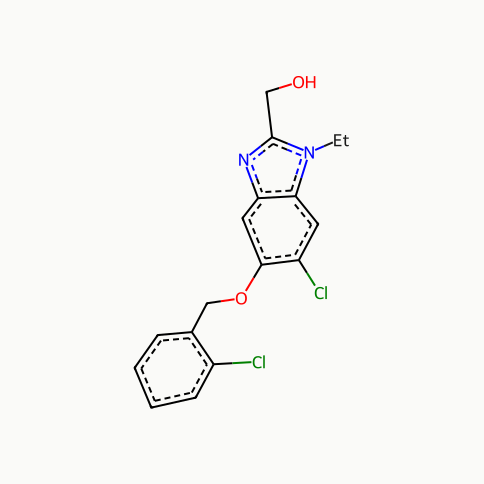 CCn1c(CO)nc2cc(OCc3ccccc3Cl)c(Cl)cc21